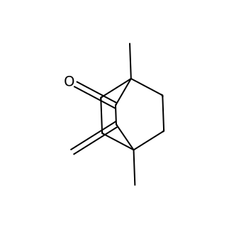 C=C1C(=O)C2(C)CCC1(C)CC2